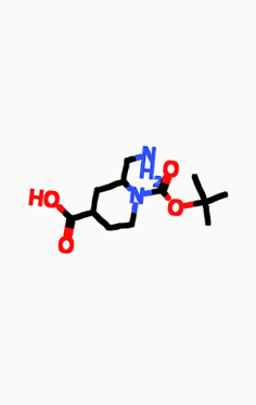 CC(C)(C)OC(=O)N1CCC(C(=O)O)CC1CN